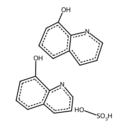 O=S(=O)(O)O.Oc1cccc2cccnc12.Oc1cccc2cccnc12